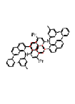 Cc1cc(C)cc(N(c2c(-c3ccccc3)ccc3ccc(-c4ccccc4)cc23)c2cc(C(C)C)c3ccc4c(N(c5cc(C)cc(C)c5)c5c(-c6ccccc6)ccc6ccc(-c7ccccc7)cc56)cc(C(C)C)c5ccc2c3c54)c1